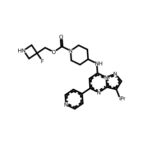 CC(C)c1cnn2c(NC3CCN(C(=O)OCC4(F)CNC4)CC3)cc(-c3ccncc3)nc12